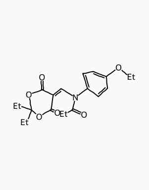 CCOc1ccc(N(C=C2C(=O)OC(CC)(CC)OC2=O)C(=O)CC)cc1